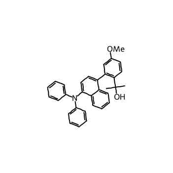 COc1ccc(C(C)(C)O)c(-c2ccc(N(c3ccccc3)c3ccccc3)c3ccccc23)c1